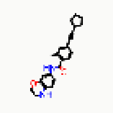 Cc1cc(C#CC2CCCC2)ccc1C(=O)Nc1ccc2c(c1)OCCN2